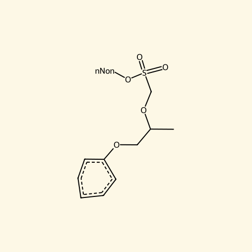 CCCCCCCCCOS(=O)(=O)COC(C)COc1ccccc1